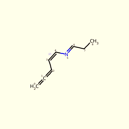 C=C=C/C=C\N=CCC